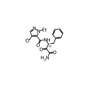 CCn1ncc(Cl)c1C(=O)N[C@@H](Cc1ccccc1)C(=O)C(N)=O